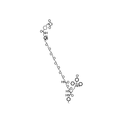 [CH2]c1ccc(NC(=O)[C@H](CCCCNC(c2ccccc2)(c2ccccc2)c2ccc(OC)cc2)NC(=O)COCC(=O)NCCOCCOCCOCCOCCOCCOCCOCCOCCn2cc(CNC(=O)C3CCC(CN4C(=O)C=CC4=O)CC3)nn2)cc1